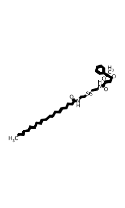 CCC=CCC=CCC=CCC=CCC=CCCCC(=O)NCCSSCCNC(=O)C1=CC(=O)C(C)(c2ccccc2)O1